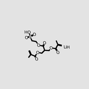 C=C(C)C(=O)OCC(COC(=O)C(=C)C)C(=O)OCCS(=O)(=O)O.[LiH]